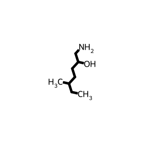 CCC(C)CCC(O)CN